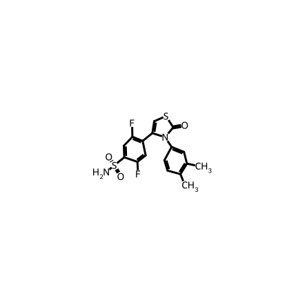 Cc1ccc(-n2c(-c3cc(F)c(S(N)(=O)=O)cc3F)csc2=O)cc1C